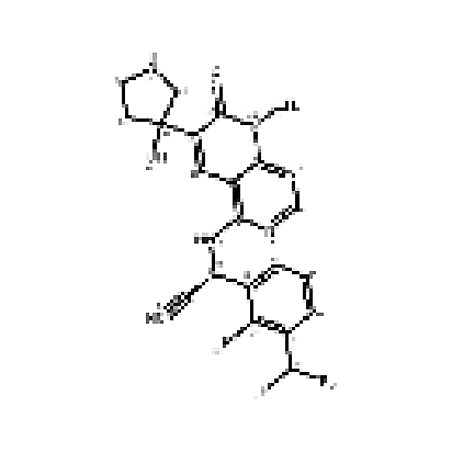 C#C[C@@H](Nc1ncnc2c1cc(C1(O)CCNC1)c(=O)n2C)c1cccc(C(F)F)c1F